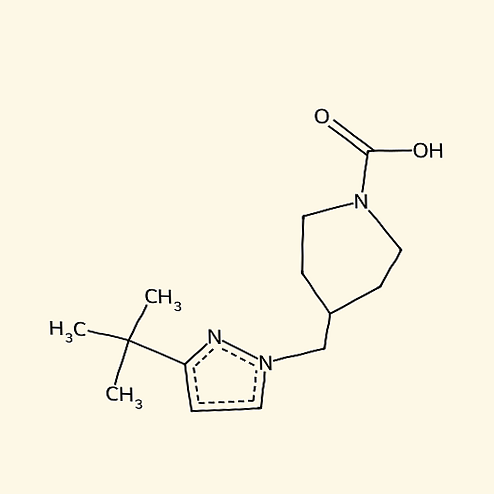 CC(C)(C)c1ccn(CC2CCN(C(=O)O)CC2)n1